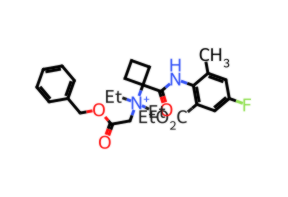 CCOC(=O)c1cc(F)cc(C)c1NC(=O)C1([N+](CC)(CC)CC(=O)OCc2ccccc2)CCC1